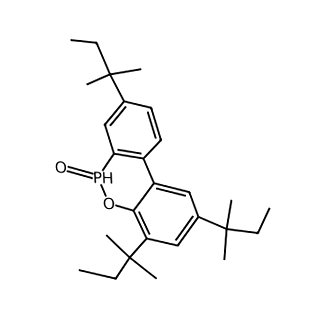 CCC(C)(C)c1ccc2c(c1)[PH](=O)Oc1c-2cc(C(C)(C)CC)cc1C(C)(C)CC